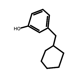 Oc1cccc(CC2CCCCC2)c1